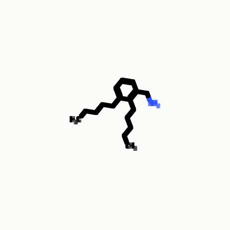 CCCCCc1cccc(CN)c1CCCCC